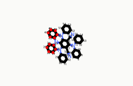 N#Cc1c(N(c2ccccc2)c2ccccc2)c(C#N)c(N(c2ccccc2)c2ccccc2)c(N(c2ccccc2)c2ccccc2)c1N(c1ccccc1)c1ccccc1